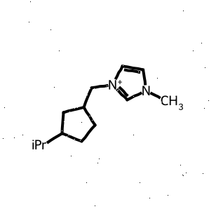 CC(C)C1CCC(C[n+]2ccn(C)c2)C1